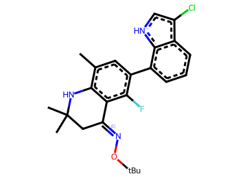 Cc1cc(-c2cccc3c(Cl)c[nH]c23)c(F)c2c1NC(C)(C)C/C2=N\OC(C)(C)C